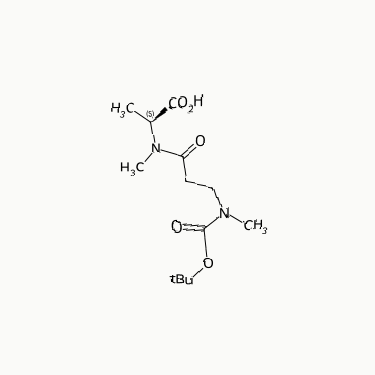 C[C@@H](C(=O)O)N(C)C(=O)CCN(C)C(=O)OC(C)(C)C